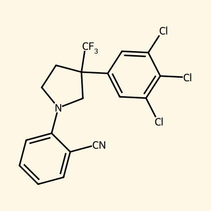 N#Cc1ccccc1N1CCC(c2cc(Cl)c(Cl)c(Cl)c2)(C(F)(F)F)C1